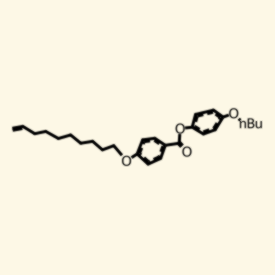 C=CCCCCCCCCOc1ccc(C(=O)Oc2ccc(OCCCC)cc2)cc1